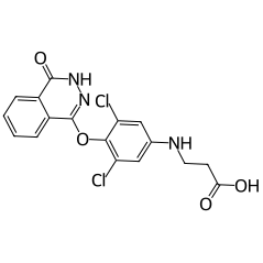 O=C(O)CCNc1cc(Cl)c(Oc2n[nH]c(=O)c3ccccc23)c(Cl)c1